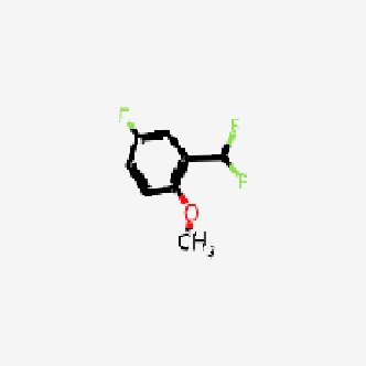 COc1ccc(F)cc1C(F)F